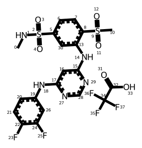 CNS(=O)(=O)c1ccc(S(C)(=O)=O)c(Nc2cc(Nc3ccc(F)c(F)c3)ncn2)c1.O=C(O)C(F)(F)F